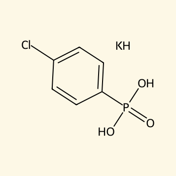 O=P(O)(O)c1ccc(Cl)cc1.[KH]